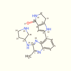 Cc1nc2cccc(-c3cc4c([nH]3)CCNC4=O)c2nc1NC1CCNC1